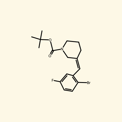 CC(C)(C)OC(=O)N1CCC/C(=C/c2cc(F)ccc2Br)C1